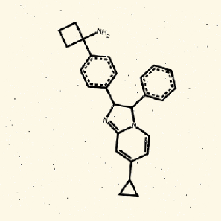 NC1(c2ccc(C3N=C4C=C(C5CC5)C=CN4C3c3ccccc3)cc2)CCC1